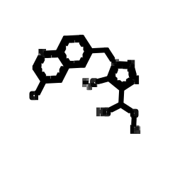 CCOC(O)c1nnn(Cc2ccc3ncc(Cl)cc3c2)c1C(F)(F)F